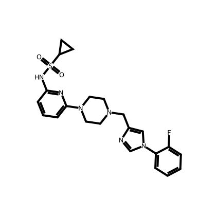 O=S(=O)(Nc1cccc(N2CCN(Cc3cn(-c4ccccc4F)cn3)CC2)n1)C1CC1